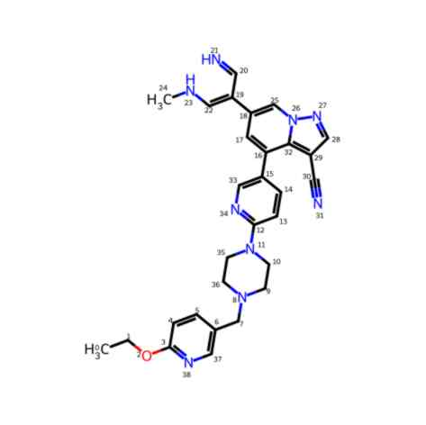 CCOc1ccc(CN2CCN(c3ccc(-c4cc(/C(C=N)=C/NC)cn5ncc(C#N)c45)cn3)CC2)cn1